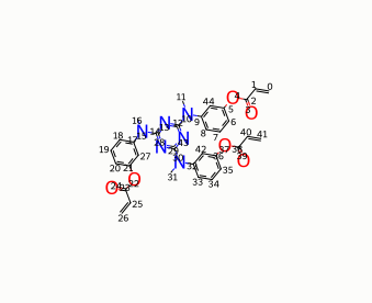 C=CC(=O)Oc1cccc(N(C)c2nc(N(C)c3cccc(OC(=O)C=C)c3)nc(N(C)c3cccc(OC(=O)C=C)c3)n2)c1